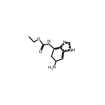 CCOC(=O)NC1=c2nc[nH]c2=CC(N)C1